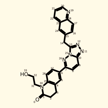 O=C1CCc2cc(-c3ccc4nnc(Cc5ccc6ncccc6c5)n4n3)ccc2N1CCO